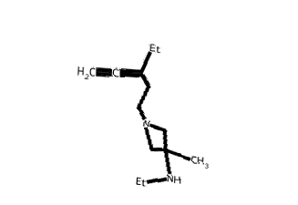 C=C=C(CC)CCN1CC(C)(NCC)C1